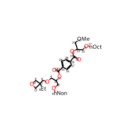 CCCCCCCCCOCC(COCC1(CC)COC1)OC(=O)c1ccc(C(=O)OC(COC)COCCCCCCCC)cc1